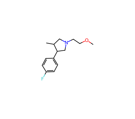 COCCN1CC(C)C(c2ccc(F)cc2)C1